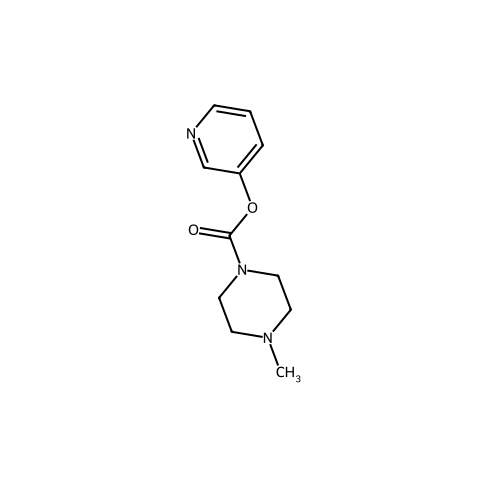 CN1CCN(C(=O)Oc2cccnc2)CC1